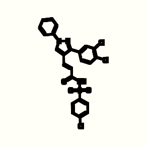 O=C(/C=C/c1cn(-c2ccccc2)nc1-c1ccc(Cl)c(Cl)c1)NS(=O)(=O)c1ccc(Cl)cc1